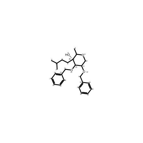 CC(C)CC[C@@]1(O)C(C)OCC(OCc2ccccc2)C1OCc1ccccc1